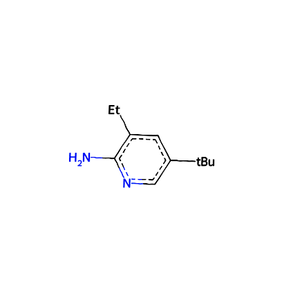 CCc1cc(C(C)(C)C)cnc1N